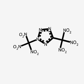 O=[N+]([O-])C(c1nnn(C([N+](=O)[O-])([N+](=O)[O-])[N+](=O)[O-])n1)([N+](=O)[O-])[N+](=O)[O-]